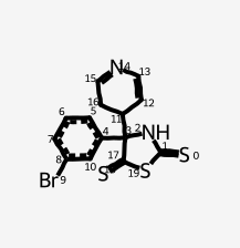 S=C1NC(c2cccc(Br)c2)(C2C=CN=CC2)C(=S)S1